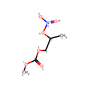 COC(=O)OCC(C)O[N+](=O)[O-]